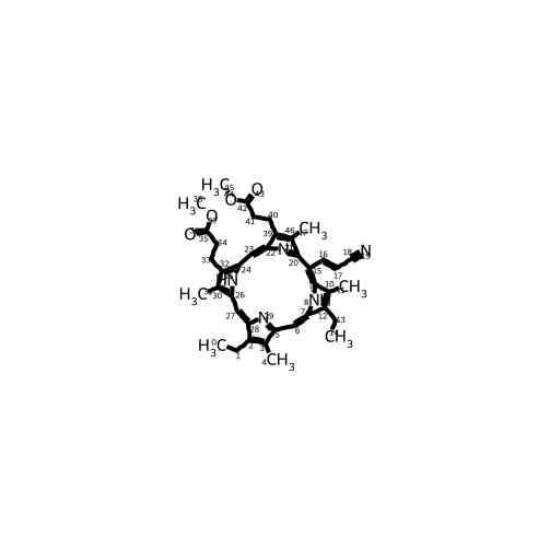 CCC1=C(C)c2cc3[nH]c(c(C)c3CC)c(C=CC#N)c3nc(cc4[nH]c(cc1n2)c(C)c4CCC(=O)OC)C(CCC(=O)OC)=C3C